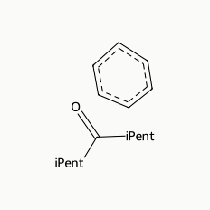 CCCC(C)C(=O)C(C)CCC.c1ccccc1